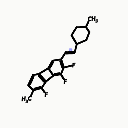 Cc1ccc2c(c1F)-c1c-2cc(/C=C/C2CCC(C)CC2)c(F)c1F